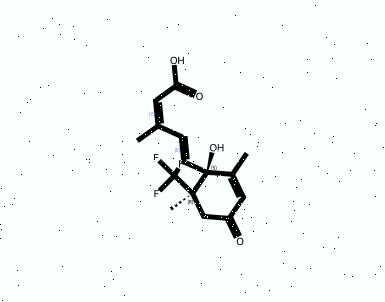 CC1=CC(=O)C[C@@](C)(C(F)(F)F)[C@]1(O)/C=C/C(C)=C\C(=O)O